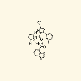 Cc1cccc(-c2sc(C3CC3)nc2C(=O)N2[C@@H]3CC[C@@H](C3)[C@H]2CNC(=O)c2cccc3ncsc23)c1